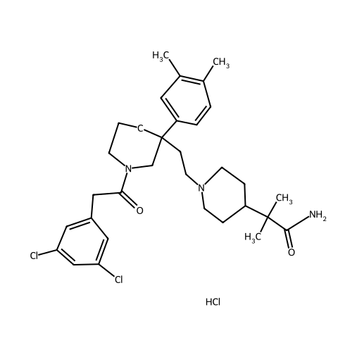 Cc1ccc(C2(CCN3CCC(C(C)(C)C(N)=O)CC3)CCCN(C(=O)Cc3cc(Cl)cc(Cl)c3)C2)cc1C.Cl